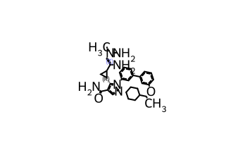 CC(Oc1cccc(-c2cccc(-n3ncc(C(N)=O)c3[C@@H]3CC3/C(N)=C/N(C)N)c2)c1)C1CCCCC1